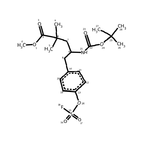 COC(=O)C(C)(C)CC(Cc1ccc(OS(=O)(=O)F)cc1)NC(=O)OC(C)(C)C